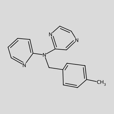 Cc1ccc(CN(c2ccccn2)c2cnccn2)cc1